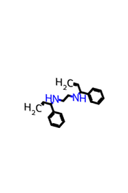 C=CC(NCCNC(C=C)c1ccccc1)c1ccccc1